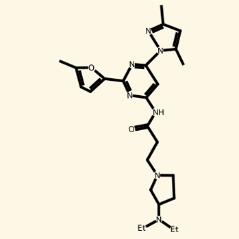 CCN(CC)C1CCN(CCC(=O)Nc2cc(-n3nc(C)cc3C)nc(-c3ccc(C)o3)n2)C1